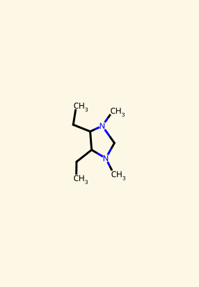 CCC1C(CC)N(C)CN1C